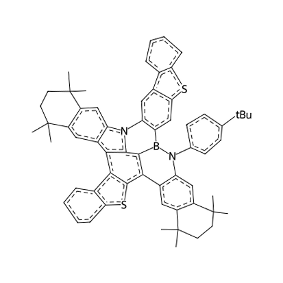 CC(C)(C)c1ccc(N2B3c4cc5sc6ccccc6c5cc4-n4c5cc6c(cc5c5c7c(sc8ccccc87)c(c3c54)-c3cc4c(cc32)C(C)(C)CCC4(C)C)C(C)(C)CCC6(C)C)cc1